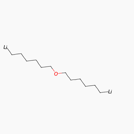 [Li][CH2]CCCCCOCCCCC[CH2][Li]